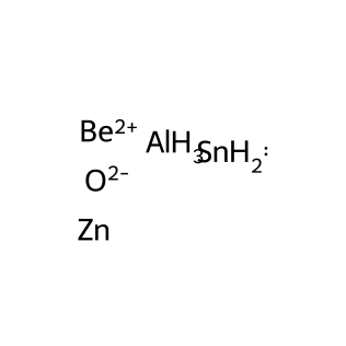 [AlH3].[Be+2].[O-2].[SnH2].[Zn]